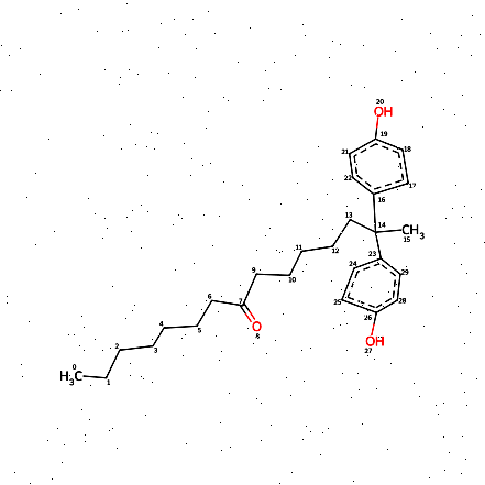 CCCCCCCC(=O)CCCCCC(C)(c1ccc(O)cc1)c1ccc(O)cc1